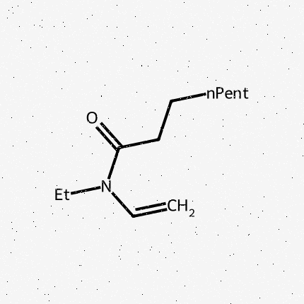 C=CN(CC)C(=O)CCCCCCC